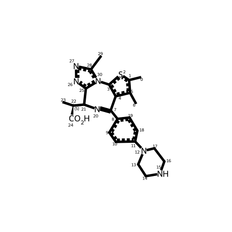 Cc1sc2c(c1C)C(c1ccc(N3CCNCC3)cc1)=NC([C@H](C)C(=O)O)c1nnc(C)n1-2